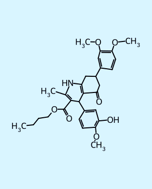 CCCCOC(=O)C1=C(C)NC2=C(C(=O)CC(c3ccc(OC)c(OC)c3)C2)C1c1ccc(OC)c(O)c1